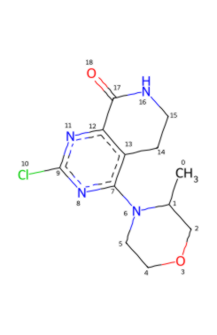 CC1COCCN1c1nc(Cl)nc2c1CCNC2=O